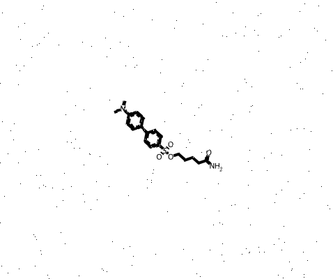 CN(C)c1ccc(-c2ccc(S(=O)(=O)OCCCCC(N)=O)cc2)cc1